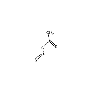 CC(=S)O[C]=S